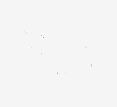 C=C(CCCCCCC)c1cc(-c2noc(C(C)C)n2)ccc1C